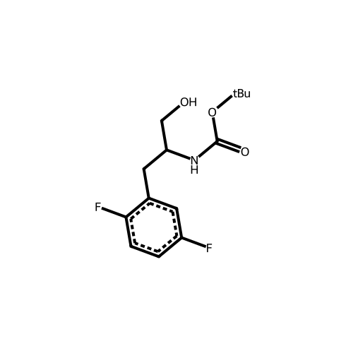 CC(C)(C)OC(=O)NC(CO)Cc1cc(F)ccc1F